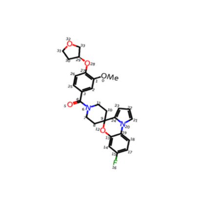 COc1cc(C(=O)N2CCC3(CC2)Oc2cc(F)ccc2-n2cccc23)ccc1O[C@H]1CCOC1